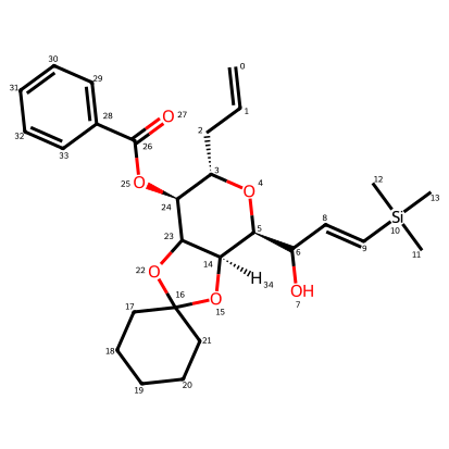 C=CC[C@@H]1O[C@@H](C(O)/C=C/[Si](C)(C)C)[C@H]2OC3(CCCCC3)OC2[C@H]1OC(=O)c1ccccc1